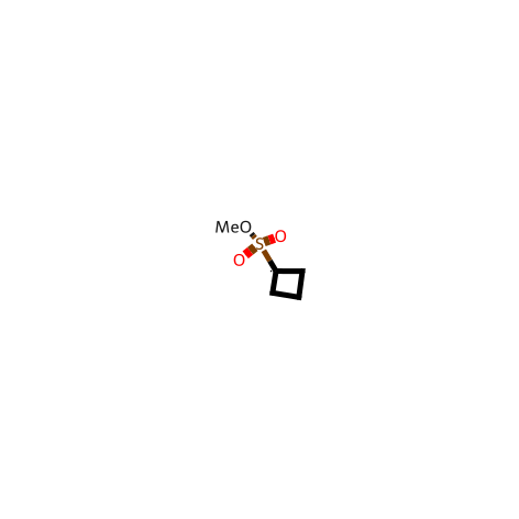 COS(=O)(=O)[C]1CCC1